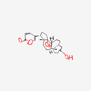 C[C@]12CC[C@H](O)CC1CC[C@@H]1[C@@H]2CC[C@]2(C)[C@@H](c3ccc(=O)oc3)CC[C@]12O